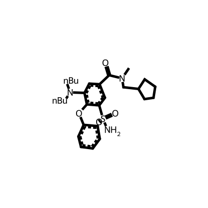 CCCCN(CCCC)c1cc(C(=O)N(C)CC2CCCC2)cc(S(N)(=O)=O)c1Oc1ccccc1